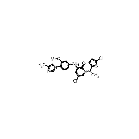 COc1cc(Nc2cc(Cl)cn([C@@H](C)c3ccc(Cl)s3)c2=O)ccc1-n1cnc(C)c1